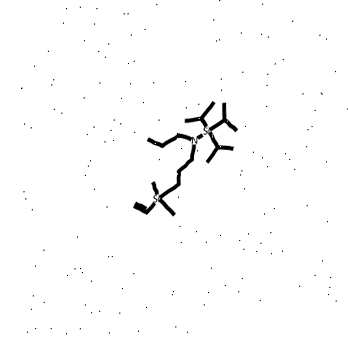 C=C[Si](C)(C)CCCN(CCC)[Si](C(C)C)(C(C)C)C(C)C